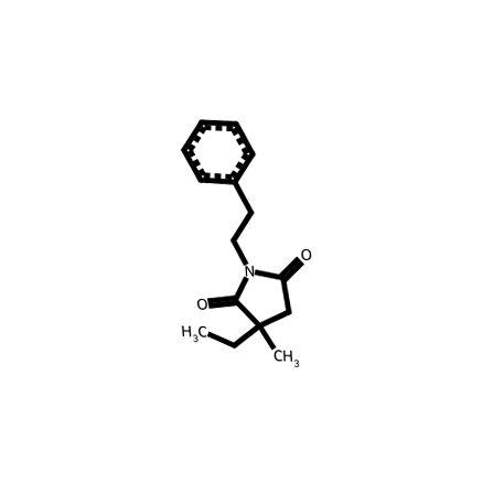 CCC1(C)CC(=O)N(CCc2ccccc2)C1=O